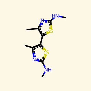 CNc1nc(C)c(-c2sc(NC)nc2C)s1